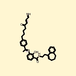 C/C(=N\c1cccc(C(=O)NCCC2=CCCCc3ccccc32)c1O)c1ccc(CCCCC(=O)/C=C/C=N)cc1